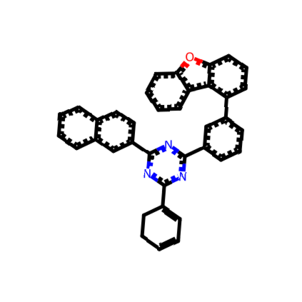 C1=CCCC(c2nc(-c3cccc(-c4cccc5oc6ccccc6c45)c3)nc(-c3ccc4ccccc4c3)n2)=C1